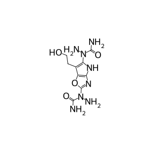 NC(=O)N(N)c1nc2[nH]c(N(N)C(N)=O)c(CCO)c2o1